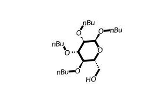 CCCCO[C@H]1O[C@H](CO)[C@@H](OCCCC)[C@H](OCCCC)[C@@H]1OCCCC